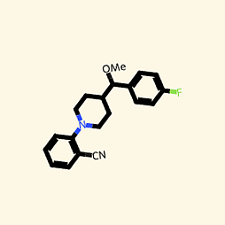 COC(c1ccc(F)cc1)C1CCN(c2[c]cccc2C#N)CC1